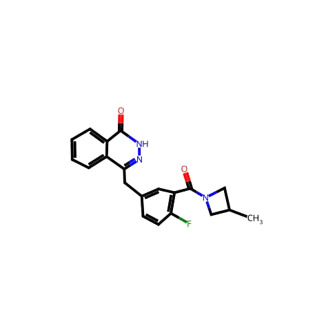 CC1CN(C(=O)c2cc(Cc3n[nH]c(=O)c4ccccc34)ccc2F)C1